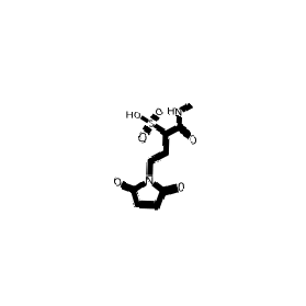 CNC(=O)C(CCN1C(=O)C=CC1=O)S(=O)(=O)O